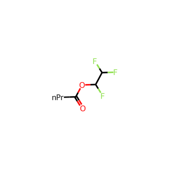 CCCC(=O)OC(F)C(F)F